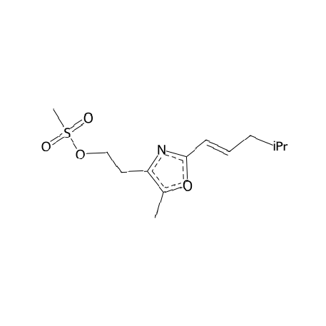 Cc1oc(/C=C/CC(C)C)nc1CCOS(C)(=O)=O